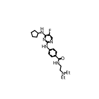 CCN(CC)CCNC(=O)c1ccc(Nc2ncc(F)c(NC3CCCC3)n2)cc1